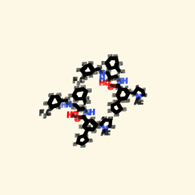 CC(=O)N1CCC[C@@H]1c1cc(C(=O)N[C@@H](Cc2ccccc2)[C@H](O)CNCc2cccc(C(F)(F)F)c2)cc(C2CCCC2)c1.CC(=O)N1CCC[C@H]1c1cc(C(=O)N[C@@H](Cc2ccccc2)[C@H](O)CNCc2cccc(C(F)(F)F)c2)cc(C2CCCC2)c1